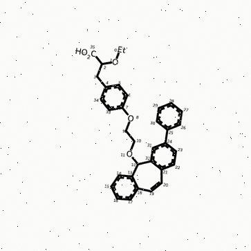 CCOC(Cc1ccc(OCCOC2c3ccccc3C=Cc3ccc(-c4ccccc4)cc32)cc1)C(=O)O